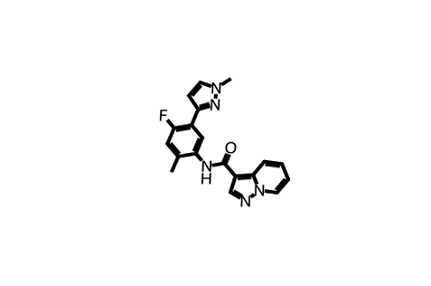 Cc1cc(F)c(-c2ccn(C)n2)cc1NC(=O)c1cnn2ccccc12